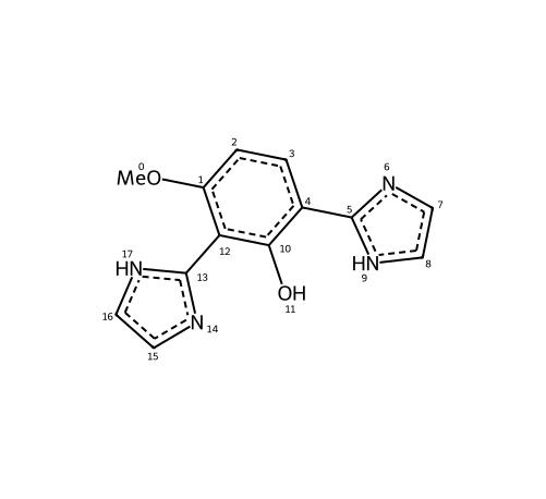 COc1ccc(-c2ncc[nH]2)c(O)c1-c1ncc[nH]1